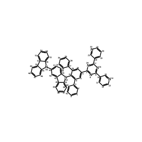 c1ccc(-c2cc(-c3nc(-c4cccnc4)nc(-c4cccnc4)n3)cc(-c3ccccc3)c2-n2c3ccccc3c3cc(-n4c5ccccc5c5ccccc54)ccc32)cc1